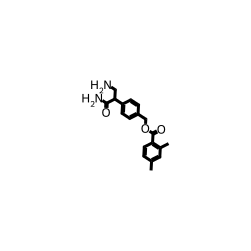 Cc1ccc(C(=O)OCc2ccc(C(CN)C(N)=O)cc2)c(C)c1